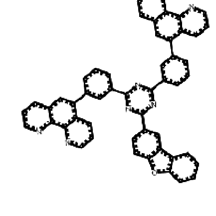 c1cc(-c2nc(-c3cccc(-c4cc5cccnc5c5ncccc45)c3)nc(-c3ccc4oc5ccccc5c4c3)n2)cc(-c2cc3cccnc3c3ncccc23)c1